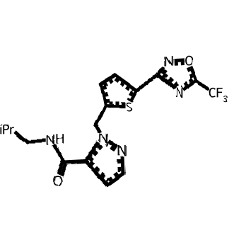 CC(C)CNC(=O)c1ccnn1Cc1ccc(-c2noc(C(F)(F)F)n2)s1